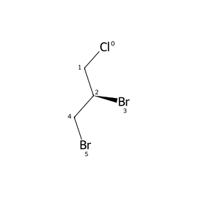 ClC[C@@H](Br)CBr